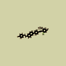 Cc1ccc(CCc2ccc3cc(-c4ccc(C#Cc5c(F)cc(C)cc5C(C)(C)C)cc4)ccc3c2)cc1